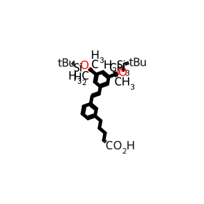 CC(C)(C)[SiH2]OC(C)(C)c1cc(C=Cc2cccc(CCCCC(=O)O)c2)cc(C(C)(C)O[SiH2]C(C)(C)C)c1